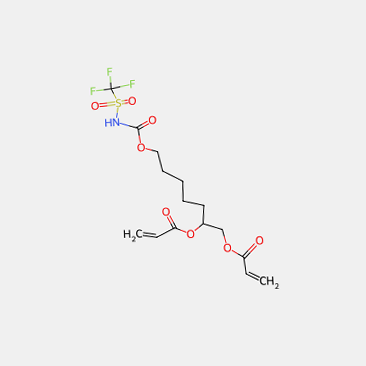 C=CC(=O)OCC(CCCCCOC(=O)NS(=O)(=O)C(F)(F)F)OC(=O)C=C